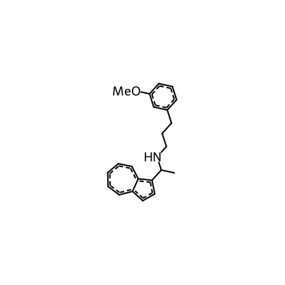 COc1cccc(CCCNC(C)c2ccc3cccccc2-3)c1